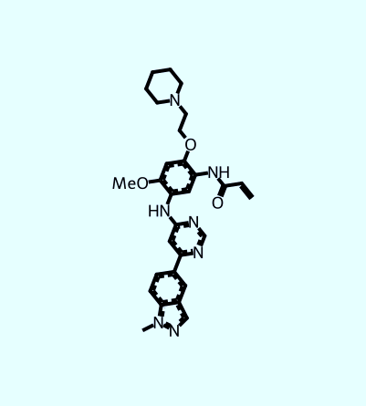 C=CC(=O)Nc1cc(Nc2cc(-c3ccc4c(cnn4C)c3)ncn2)c(OC)cc1OCCN1CCCCC1